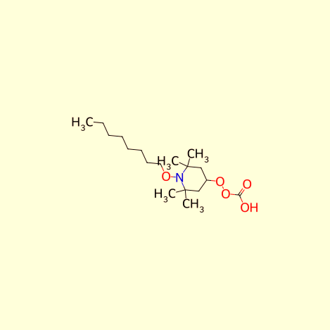 CCCCCCCCON1C(C)(C)CC(OOC(=O)O)CC1(C)C